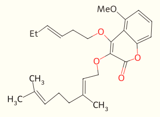 CC/C=C/CCOc1c(OC/C=C(\C)CCC=C(C)C)c(=O)oc2cccc(OC)c12